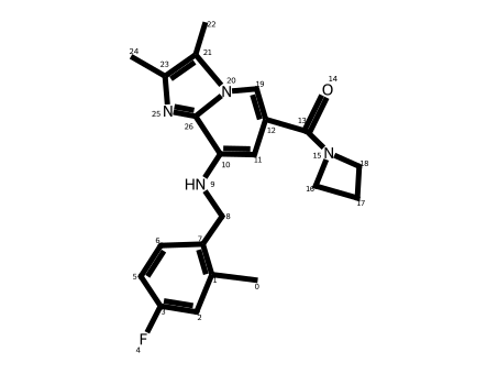 Cc1cc(F)ccc1CNc1cc(C(=O)N2CCC2)cn2c(C)c(C)nc12